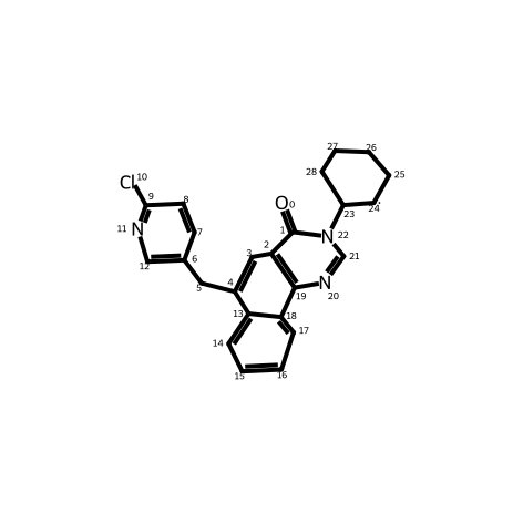 O=c1c2cc(Cc3ccc(Cl)nc3)c3ccccc3c2ncn1C1[CH]CCCC1